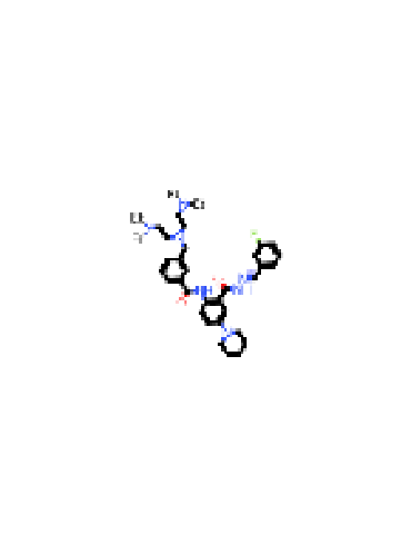 CCN(CC)CCN(CCN(CC)CC)Cc1cccc(C(=O)Nc2ccc(N3CCCCC3)cc2C(=O)N/N=C/c2cccc(F)c2)c1